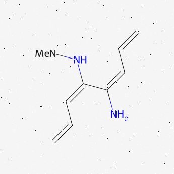 C=C/C=C(N)\C(=C/C=C)NNC